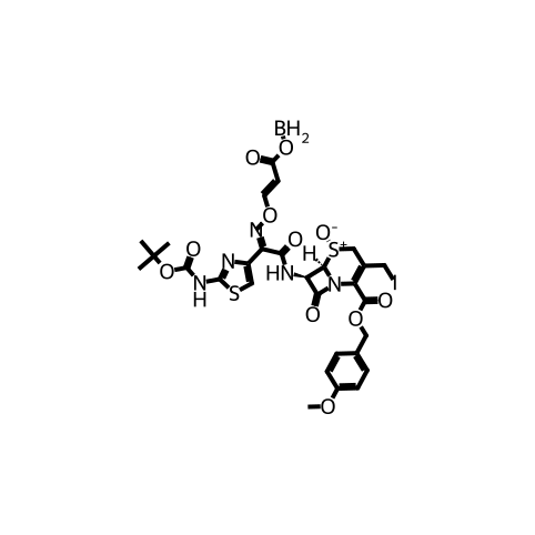 BOC(=O)/C=C/O/N=C(\C(=O)N[C@@H]1C(=O)N2C(C(=O)OCc3ccc(OC)cc3)=C(CI)C[S+]([O-])[C@H]12)c1csc(NC(=O)OC(C)(C)C)n1